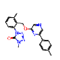 Cc1ccc(-c2cncc(OCc3c(C)cccc3-n3nnn(C)c3=O)n2)cc1